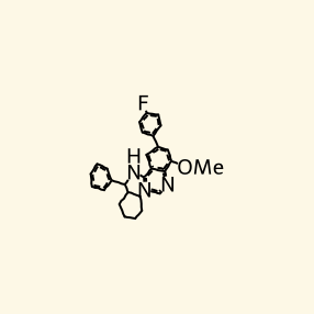 COc1cc(-c2ccc(F)cc2)cc2c(NC(c3ccccc3)C3CCCCC3)ncnc12